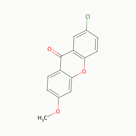 COc1ccc2c(=O)c3cc(Cl)ccc3oc2c1